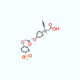 CC#C[C@@H](CC(=O)O)c1ccc(OC[C@H]2COc3ccc(S(C)(=O)=O)cc3O2)cc1